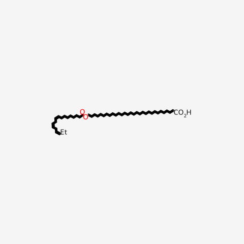 CC/C=C\C/C=C\C/C=C\CCCCCCCC(=O)OCCCCCCCCCCCCCCCCCCCCCCCCCCCCCC(=O)O